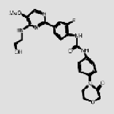 COc1cnc(-c2ccc(NC(=O)Nc3ccc(N4CCOCC4=O)cc3)c(F)c2)nc1NCCO